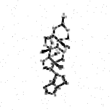 C[C@]12CC[C@H](O)CC1=CC[C@@H]1[C@@H]2CC[C@]2(C)C(C3=C4C=CC=C4N=C3)=CC[C@@H]12